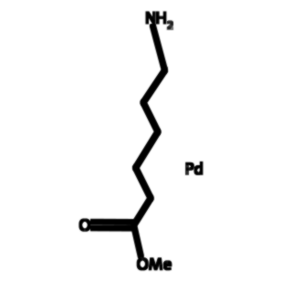 COC(=O)CCCCCN.[Pd]